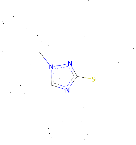 Cn1cnc([S])n1